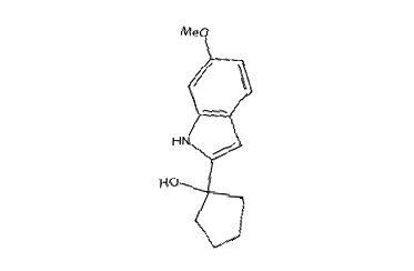 COc1ccc2cc(C3(O)CCCC3)[nH]c2c1